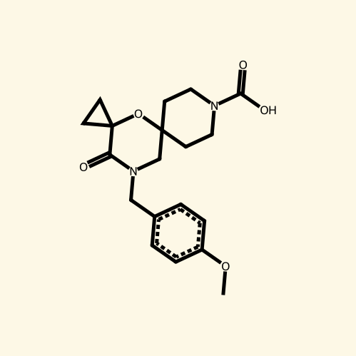 COc1ccc(CN2CC3(CCN(C(=O)O)CC3)OC3(CC3)C2=O)cc1